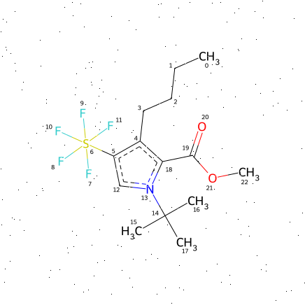 CCCCc1c(S(F)(F)(F)(F)F)cn(C(C)(C)C)c1C(=O)OC